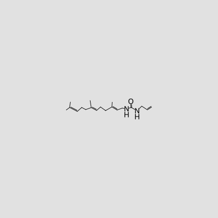 C=CCNC(=O)NC/C=C(\C)CC/C=C(\C)CCC=C(C)C